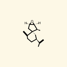 C=C(C)[C@H]1CCC(=C)[C@@]2(C1)C[C@H]1O[C@H]1[C@H]2C